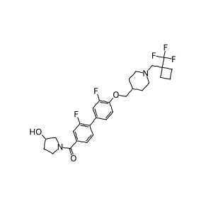 O=C(c1ccc(-c2ccc(OCC3CCN(CC4(C(F)(F)F)CCC4)CC3)c(F)c2)c(F)c1)N1CCC(O)C1